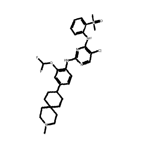 CN1CCC2(CCC(c3ccc(Nc4ncc(Cl)c(Nc5ccccc5P(C)(C)=O)n4)c(OC(F)F)c3)CC2)CC1